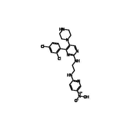 [O-][NH+](O)c1ccc(NCCNc2ncc(N3CCNCC3)c(-c3ccc(Cl)cc3Cl)n2)nc1